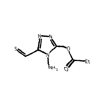 CCC(=O)Oc1nnc(C=S)n1N